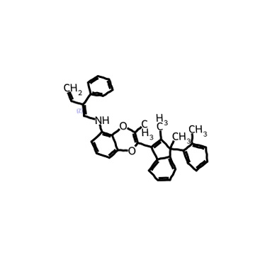 C=C/C(=C/Nc1cccc2c1OC(C)=C(C1=C(C)C(C)(c3ccccc3C)c3ccccc31)O2)c1ccccc1